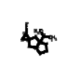 CC(C)C12CCCN1CC1(CC1F)C2